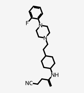 C=C(CCC#N)NC1CCC(CCN2CCN(c3ccccc3F)CC2)CC1